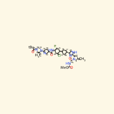 COC(=O)NCC(=O)N1C[C@@H](C)C[C@H]1c1nc(-c2ccc(-c3cc(F)c(NC(=O)c4ccc(N5CCN(C(=O)C(C)(C)C)C[C@H]5C)nc4)cc3Cl)cc2)c[nH]1